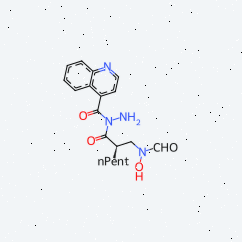 CCCCC[C@H](CN(O)C=O)C(=O)N(N)C(=O)c1ccnc2ccccc12